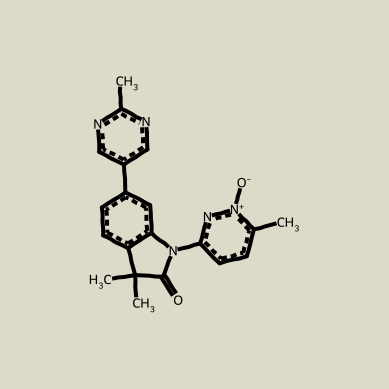 Cc1ncc(-c2ccc3c(c2)N(c2ccc(C)[n+]([O-])n2)C(=O)C3(C)C)cn1